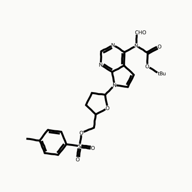 Cc1ccc(S(=O)(=O)OCC2CCC(n3ccc4c(N(C=O)C(=O)OC(C)(C)C)ncnc43)O2)cc1